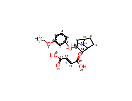 COc1cccc(OC2CC3CCC(C2)N3C)c1.O=C(O)/C=C/C(=O)O